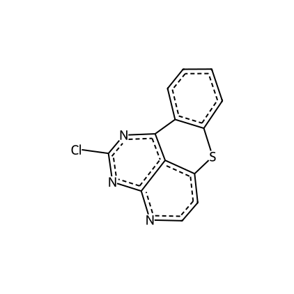 Clc1nc2c3c(ccnc3n1)Sc1ccccc1-2